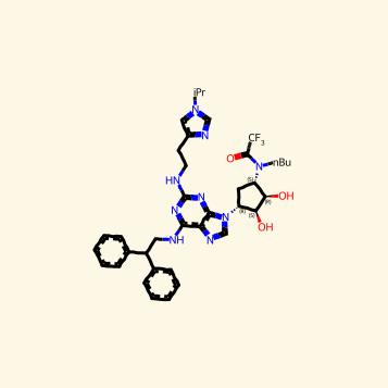 CCCCN(C(=O)C(F)(F)F)[C@H]1C[C@@H](n2cnc3c(NCC(c4ccccc4)c4ccccc4)nc(NCCc4cn(C(C)C)cn4)nc32)[C@H](O)[C@@H]1O